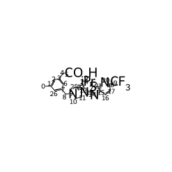 Cc1cc(CC(=O)O)cc(CN2CCN(c3nc4ccc(C(F)(F)F)nc4s3)[C@@H](C(C)C)C2)c1